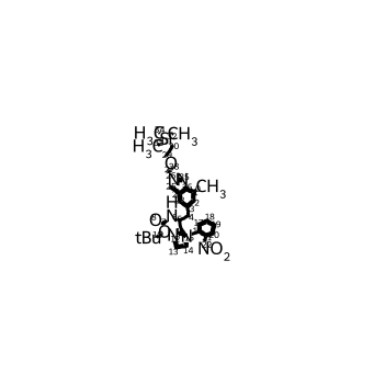 Cc1cc(CC(NC(=O)OC(C)(C)C)c2nccn2-c2ccccc2[N+](=O)[O-])cc2cn(COCC[Si](C)(C)C)nc12